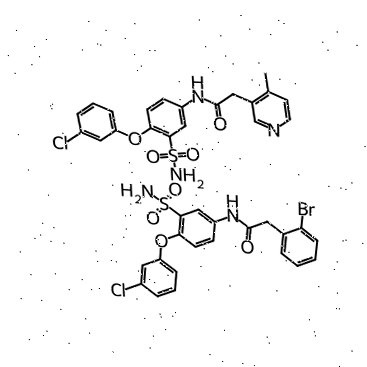 Cc1ccncc1CC(=O)Nc1ccc(Oc2cccc(Cl)c2)c(S(N)(=O)=O)c1.NS(=O)(=O)c1cc(NC(=O)Cc2ccccc2Br)ccc1Oc1cccc(Cl)c1